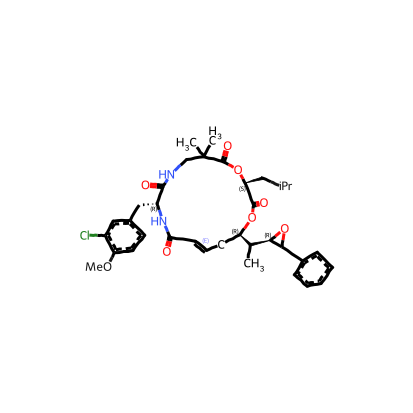 COc1ccc(C[C@H]2NC(=O)/C=C/C[C@H](C(C)[C@H]3OC3c3ccccc3)OC(=O)[C@H](CC(C)C)OC(=O)C(C)(C)CNC2=O)cc1Cl